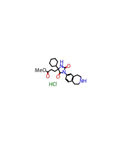 COC(=O)CCC1(C2CCCCC2)NC(=O)N(c2ccc3c(c2)CCNCC3)C1=O.Cl